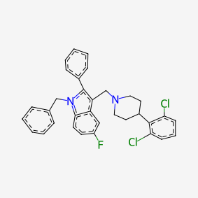 Fc1ccc2c(c1)c(CN1CCC(c3c(Cl)cccc3Cl)CC1)c(-c1ccccc1)n2Cc1ccccc1